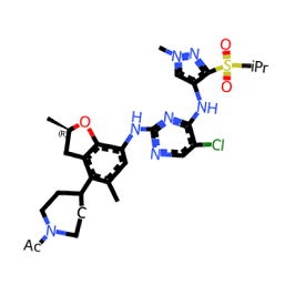 CC(=O)N1CCC(c2c(C)cc(Nc3ncc(Cl)c(Nc4cn(C)nc4S(=O)(=O)C(C)C)n3)c3c2C[C@@H](C)O3)CC1